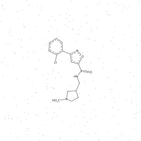 O=C(NCC1CCN(C(=O)O)C1)c1cc(-c2ccccc2Cl)no1